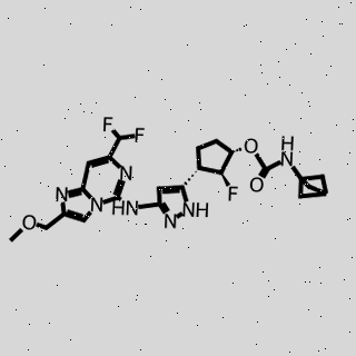 COCc1cn2c(Nc3cc([C@@H]4CC[C@H](OC(=O)NC56CC(C5)C6)[C@H]4F)[nH]n3)nc(C(F)F)cc2n1